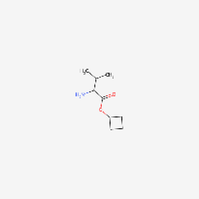 CC(C)C(N)C(=O)OC1CCC1